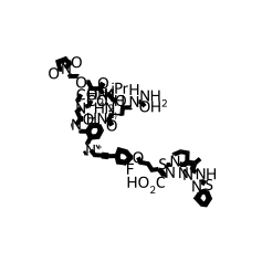 Cc1c(Nc2nc3ccccc3s2)nnc2c1CCCN2c1nc(C(=O)O)c(CCCOc2ccc(C#CC[N+](C)(C)Cc3ccc(NC(=O)[C@H](CCCNC(N)O)NC(=O)[C@@H](NC(=O)CCOCCN4C(=O)C=CC4=O)C(C)C)cc3CN(C)C(=O)CN(CC(=O)O)CC(=O)O)cc2F)s1